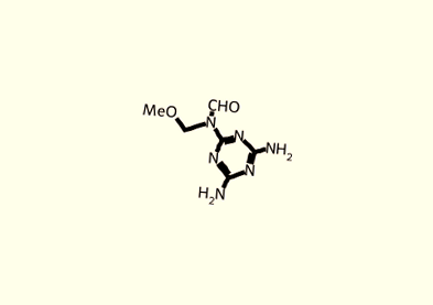 COCN(C=O)c1nc(N)nc(N)n1